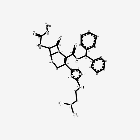 CN(C)CCNc1ncc(C2=C(C(=O)OC(c3ccccc3)c3ccccc3)N3C(=O)C(NC(=O)OC(C)(C)C)C3SC2)s1